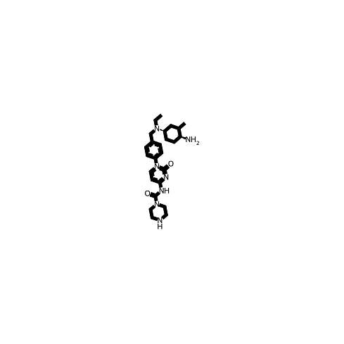 CCN(Cc1ccc(-n2ccc(NC(=O)N3CCNCC3)nc2=O)cc1)[C@H]1CC[C@H](N)C(C)C1